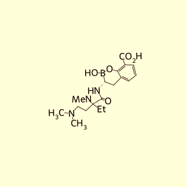 CCC(CCN(C)C)(NC)C(=O)N[C@H]1Cc2cccc(C(=O)O)c2OB1O